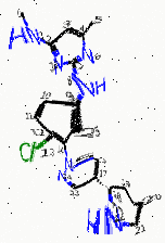 CNc1cc(C)nc(Nc2ccc(Cl)c(-n3cc([C@@H]4CCCN4)cn3)c2)n1